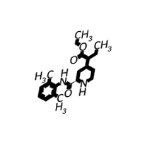 CCOC(=O)C(CC)C1CCN[C@H](C(=O)Nc2c(C)cccc2C)C1